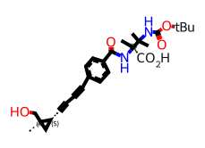 CC(C)(C)OC(=O)NC(C)(C)[C@](C)(NC(=O)c1ccc(C#CC#C[C@@H]2C[C@@]2(C)CO)cc1)C(=O)O